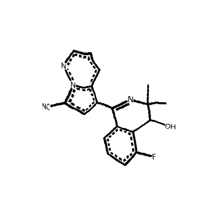 CC1(C)N=C(c2cc(C#N)n3ncccc23)c2cccc(F)c2C1O